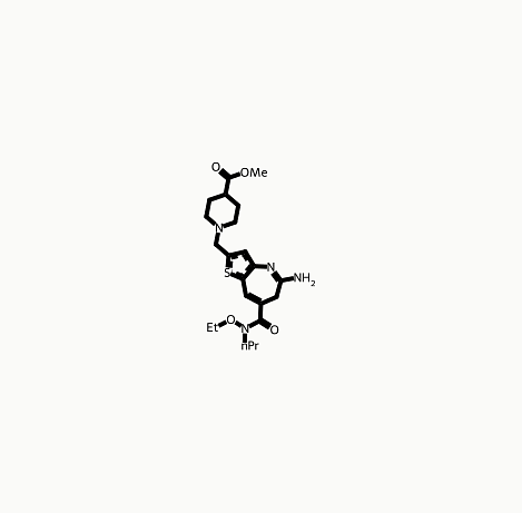 CCCN(OCC)C(=O)C1=Cc2sc(CN3CCC(C(=O)OC)CC3)cc2N=C(N)C1